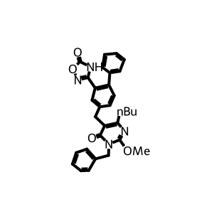 CCCCc1nc(OC)n(Cc2ccccc2)c(=O)c1Cc1ccc(-c2ccccc2)c(-c2noc(=O)[nH]2)c1